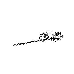 CCCCCCCCCCCCCCCCCC(=O)OCCC(CCn1cnc2c(=O)[nH]c(N)nc21)OC(=O)[C@@H](N)C(C)CC